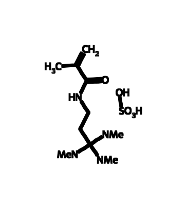 C=C(C)C(=O)NCCC(NC)(NC)NC.O=S(=O)(O)O